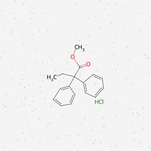 CCC(C(=O)OC)(c1ccccc1)c1ccccc1.Cl